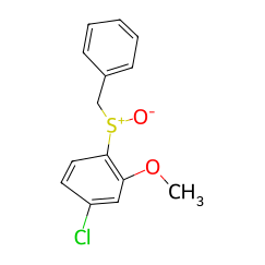 COc1cc(Cl)ccc1[S+]([O-])Cc1ccccc1